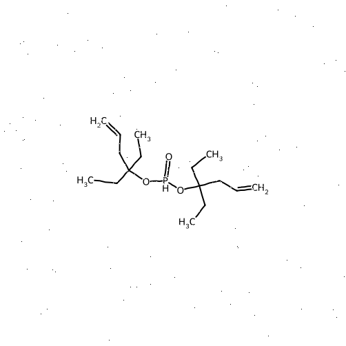 C=CCC(CC)(CC)O[PH](=O)OC(CC)(CC)CC=C